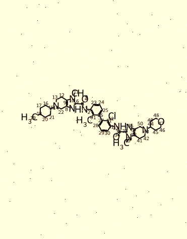 Cc1c(NC(=O)c2nc3c(n2C)CCN(C2CCC(C)CC2)C3)cccc1-c1cccc(NC(=O)c2nc3c(n2C)CCN(C2CCOCC2)C3)c1Cl